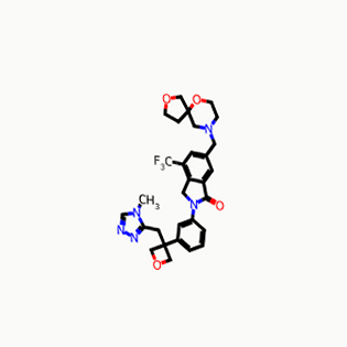 Cn1cnnc1CC1(c2cccc(N3Cc4c(cc(CN5CCOC6(CCOC6)C5)cc4C(F)(F)F)C3=O)c2)COC1